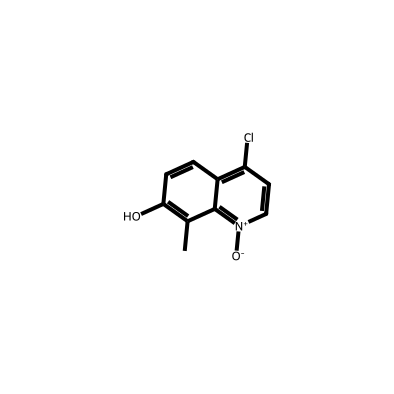 Cc1c(O)ccc2c(Cl)cc[n+]([O-])c12